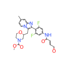 COC(=O)N1CCOC(Cc2c(-c3c(F)cc(NC(=O)/C=C/C=O)cc3F)nc3cc(C)ccn23)C1